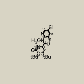 CN(C(=O)C(COC(C)(C)C)NC(=O)OC(C)(C)C)c1ncc(Cl)cc1F